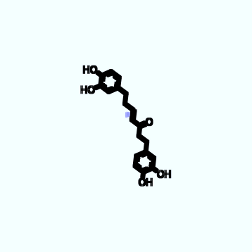 O=C(/C=C/CCc1ccc(O)c(O)c1)CCc1ccc(O)c(O)c1